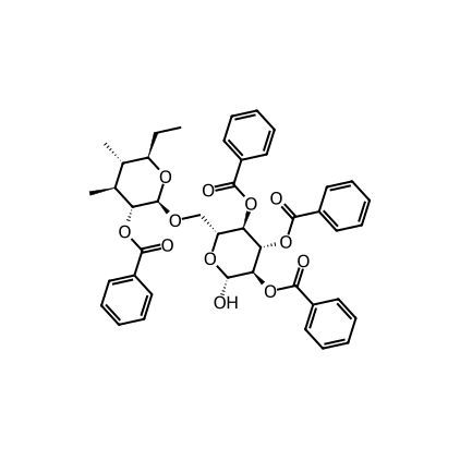 CC[C@H]1O[C@@H](OC[C@H]2O[C@@H](O)[C@H](OC(=O)c3ccccc3)[C@@H](OC(=O)c3ccccc3)[C@@H]2OC(=O)c2ccccc2)[C@H](OC(=O)c2ccccc2)[C@@H](C)[C@@H]1C